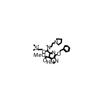 COC(=O)c1c(C(OCC[Si](C)(C)C)N(C)CCN2CCCC2)nc(OCc2ccccc2)c2nc[nH]c12